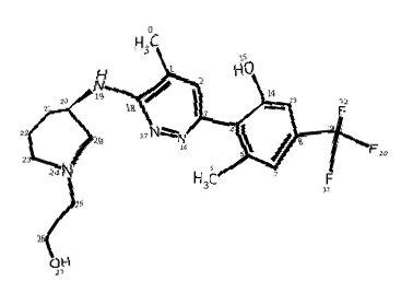 Cc1cc(-c2c(C)cc(C(F)(F)F)cc2O)nnc1N[C@@H]1CCCN(CCO)C1